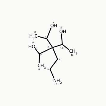 CC(O)C(CCN)(C(C)O)C(C)O